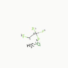 CCl.FCC(F)(F)F